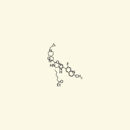 CCC(=O)CCCCC[C@H](NC(=O)C1=NOC2(CCN(CC3CC3)CC2)C1)c1ncc(-c2cc3ccc(C)nc3cc2F)[nH]1